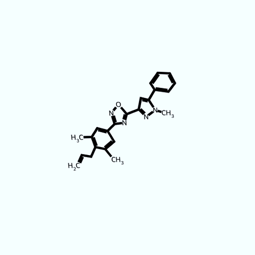 C=CCc1c(C)cc(-c2noc(-c3cc(-c4ccccc4)n(C)n3)n2)cc1C